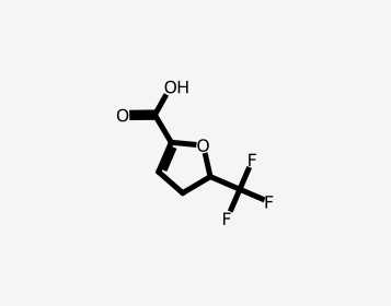 O=C(O)C1=CCC(C(F)(F)F)O1